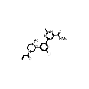 C=CC(=O)N1CCN(C(C)=O)[C@@H](c2cc(Cl)nc(-c3cc(C(=O)NC)nc(C)n3)c2)C1